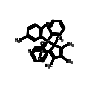 CC1=C(C)C(C)([Si](c2ccccc2)(c2ccccc2)c2cc(C)ccc2C)[C]([Ti]([CH3])([CH3])[CH3])=C1C